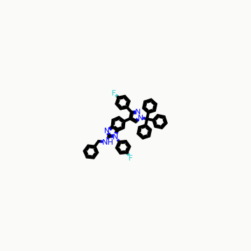 Fc1ccc(-c2nn(C(c3ccccc3)(c3ccccc3)c3ccccc3)cc2-c2ccc3nc(NCc4ccccc4)n(-c4ccc(F)cc4)c3c2)cc1